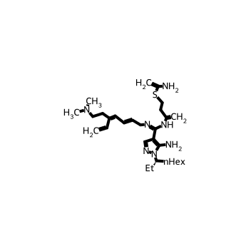 C=C/C(=C\C=C\C/N=C(/NC(=C)CCSC(=C)N)c1cnn([C@@H](CC)CCCCCC)c1N)CCN(C)C